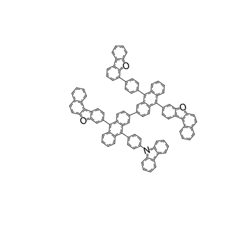 c1ccc2c(c1)ccc1oc3cc(-c4c5ccccc5c(-c5ccc(-c6cccc7c6oc6ccccc67)cc5)c5cc(-c6ccc7c(-c8ccc9c(c8)oc8ccc%10ccccc%10c89)c8ccccc8c(-c8ccc(-n9c%10ccccc%10c%10ccccc%109)cc8)c7c6)ccc45)ccc3c12